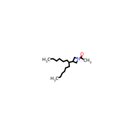 CCCCCCC(CCCCCC)C1CN(C(C)=O)C1